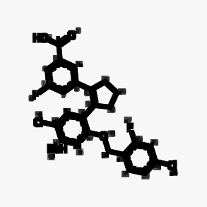 O=C(O)c1cc(F)cc(C2=C(c3cc(Cl)cnc3OCc3ccc(Cl)cc3F)CCC2)c1.[NaH]